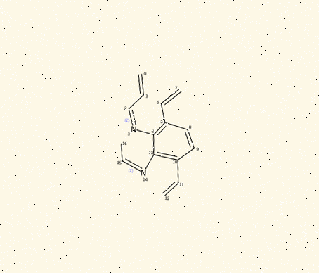 C=C/C=N\c1c(C=C)ccc(C=C)c1/N=C\C